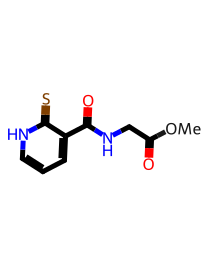 COC(=O)CNC(=O)c1ccc[nH]c1=S